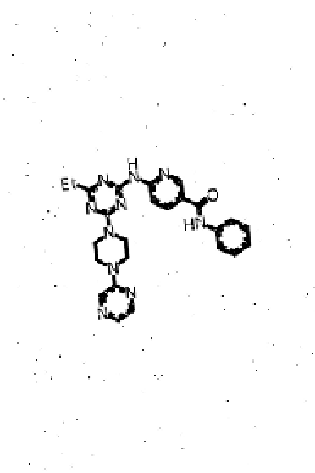 CCc1nc(Nc2ccc(C(=O)Nc3ccccc3)cn2)nc(N2CCN(c3cnccn3)CC2)n1